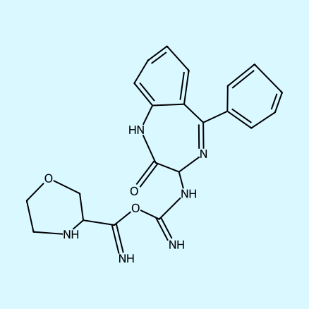 N=C(NC1N=C(c2ccccc2)c2ccccc2NC1=O)OC(=N)C1COCCN1